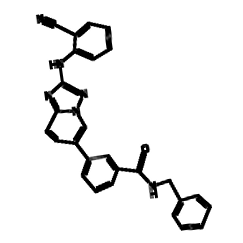 N#Cc1ccccc1Nc1nc2ccc(-c3cccc(C(=O)NCc4ccccc4)c3)cn2n1